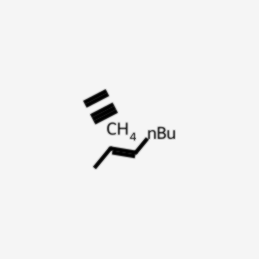 C.C#C.C=C.CC=CCCCC